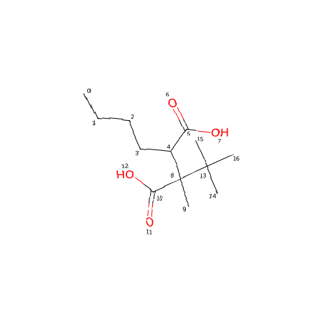 CCCCC(C(=O)O)C(C)(C(=O)O)C(C)(C)C